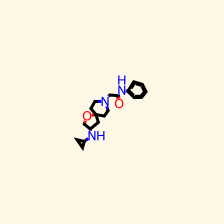 O=C(CN1CCC2(CC1)CC(NC1CC1)CO2)Nc1ccccc1